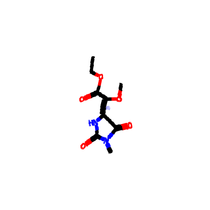 CCOC(=O)/C(OC)=C1\NC(=O)N(C)C1=O